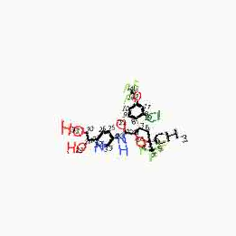 C[C@@]1(C(F)(F)F)C[C@@H](c2ccc(OC(F)(F)F)cc2Cl)[C@H](C(=O)Nc2ccc([C@@H](O)CO)nc2)O1